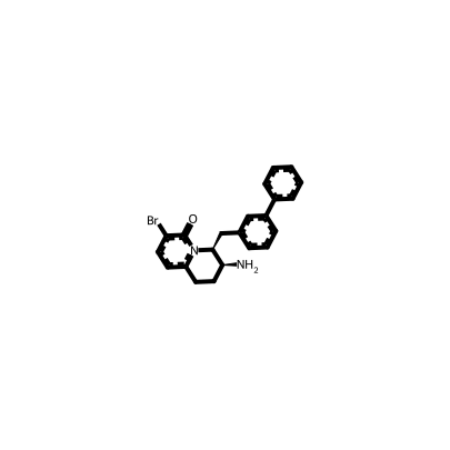 N[C@H]1CCc2ccc(Br)c(=O)n2[C@H]1Cc1cccc(-c2ccccc2)c1